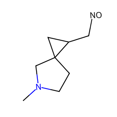 CN1CCC2(CC2CN=O)C1